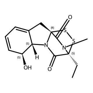 CC[C@]12SS[C@]3(CC4=CC=C[C@H](O)[C@H]4N3C1=O)C(=O)N2C